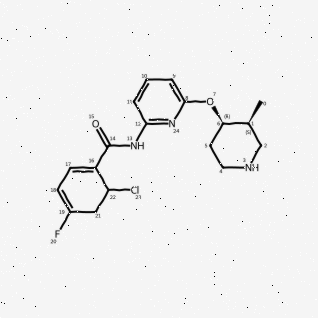 C[C@H]1CNCC[C@H]1Oc1cccc(NC(=O)C2=CC=C(F)CC2Cl)n1